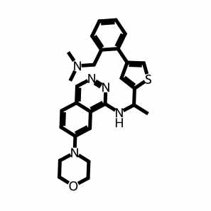 CC(Nc1nncc2ccc(N3CCOCC3)cc12)c1cc(-c2ccccc2CN(C)C)cs1